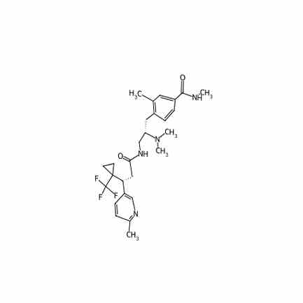 CNC(=O)c1ccc(C[C@@H](CNC(=O)C[C@H](c2ccc(C)nc2)C2(C(F)(F)F)CC2)N(C)C)c(C)c1